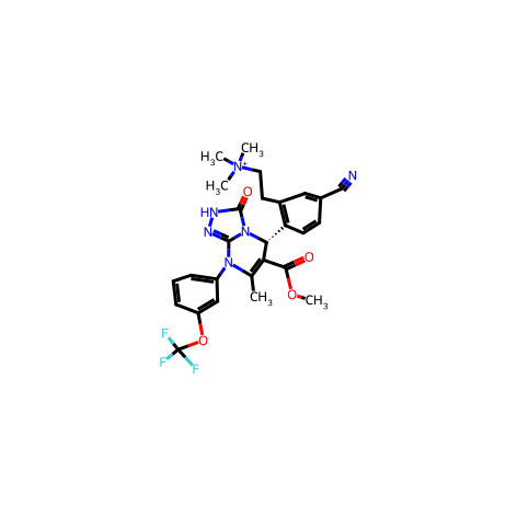 COC(=O)C1=C(C)N(c2cccc(OC(F)(F)F)c2)c2n[nH]c(=O)n2[C@@H]1c1ccc(C#N)cc1CC[N+](C)(C)C